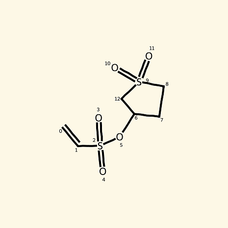 C=CS(=O)(=O)OC1CCS(=O)(=O)C1